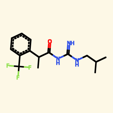 CC(C)CNC(=N)NC(=O)C(C)c1ccccc1C(F)(F)F